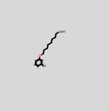 CCCCCCCCCCCCCCCCCCOc1[c]c(CC)c[c]c1